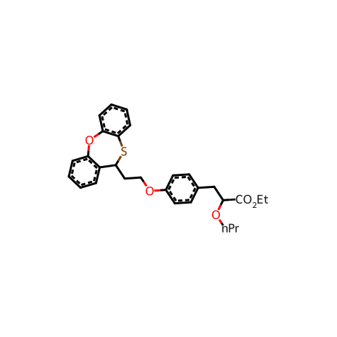 CCCOC(Cc1ccc(OCCC2Sc3ccccc3Oc3ccccc32)cc1)C(=O)OCC